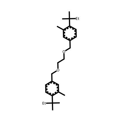 CCC(C)(C)c1ccc(COCCOCc2ccc(C(C)(C)CC)c(C)c2)cc1C